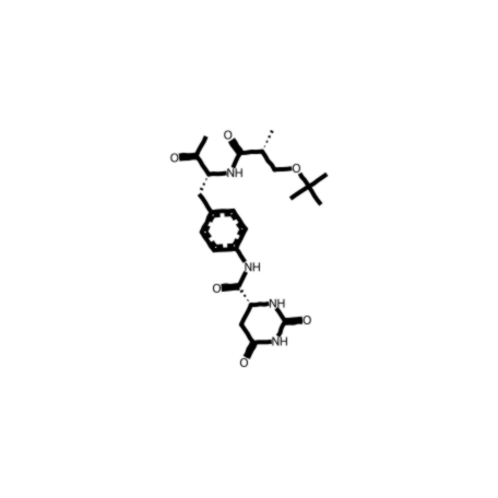 CC(=O)[C@@H](Cc1ccc(NC(=O)[C@H]2CC(=O)NC(=O)N2)cc1)NC(=O)[C@H](C)COC(C)(C)C